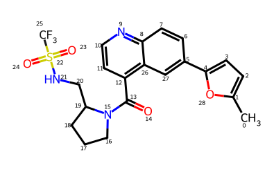 Cc1ccc(-c2ccc3nccc(C(=O)N4CCCC4CNS(=O)(=O)C(F)(F)F)c3c2)o1